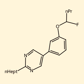 CCCCCCCc1ncc(-c2cccc(OC(F)CCC)c2)cn1